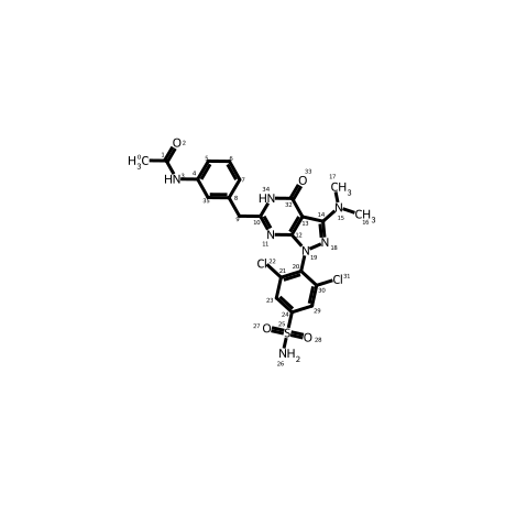 CC(=O)Nc1cccc(Cc2nc3c(c(N(C)C)nn3-c3c(Cl)cc(S(N)(=O)=O)cc3Cl)c(=O)[nH]2)c1